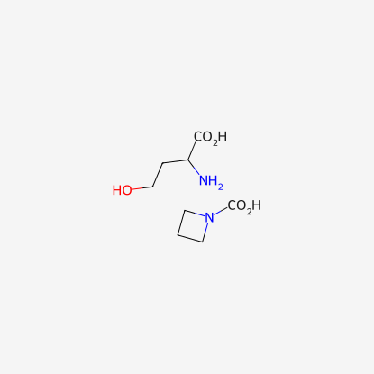 NC(CCO)C(=O)O.O=C(O)N1CCC1